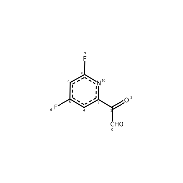 O=CC(=O)c1cc(F)cc(F)n1